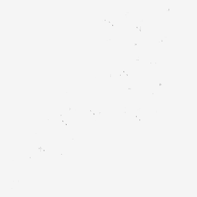 C[C@@H](Oc1nc(-c2ccc(N3CCN(C4COC4)CC3)nc2)cc2ncn(C(F)F)c12)C1CNC(=O)C1